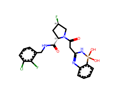 O=C(NCc1cccc(Cl)c1F)[C@@H]1C[C@@H](F)CN1C(=O)CC1=Nc2ccccc2S(O)(O)N1